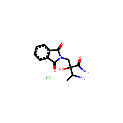 CC(N)C(O)(CN1C(=O)c2ccccc2C1=O)C(N)=O.Cl